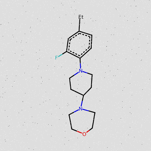 CCc1ccc(N2CCC(N3CCOCC3)CC2)c(F)c1